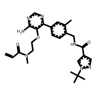 C=CC(=O)N(C)CCOc1c(N)ncnc1-c1ccc(CNC(=O)c2cnn(C(C)(C)C)c2)c(C)c1